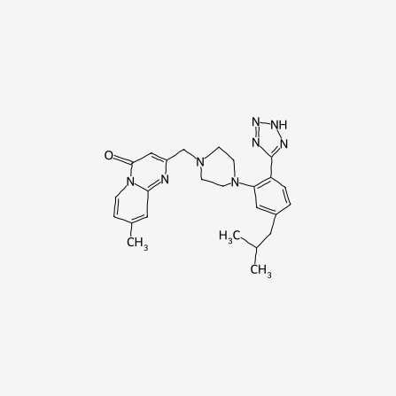 Cc1ccn2c(=O)cc(CN3CCN(c4cc(CC(C)C)ccc4-c4nn[nH]n4)CC3)nc2c1